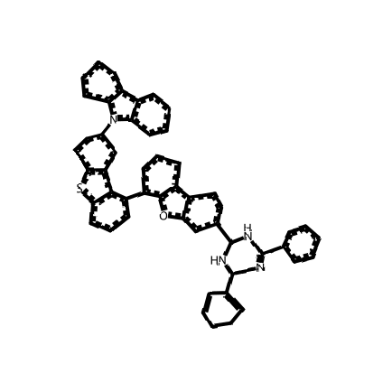 C1=CC(C2N=C(c3ccccc3)NC(c3ccc4c(c3)oc3c(-c5cccc6sc7ccc(-n8c9ccccc9c9ccccc98)cc7c56)cccc34)N2)=CCC1